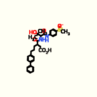 C[S+]([O-])c1ccc(NC(=O)C(NC(=O)C(CCCc2ccc(-c3ccccc3)cc2)CC(=O)O)C(C)(C)O)cc1